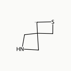 [CH]1SCC12CNC2